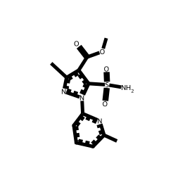 COC(=O)c1c(C)nn(-c2cccc(C)n2)c1S(N)(=O)=O